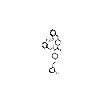 COc1ccccc1CN1CCN(C(=O)[C@H](NCc2ccccc2)C2CCN(CCc3cccc(Cl)c3)CC2)CC1